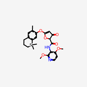 COc1ccnc(OC)c1NC(=O)C1OC(Oc2cc3c(cc2C)CCC[Si]3(C)C)=CC1=O